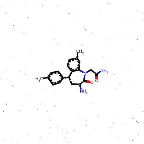 Cc1ccc(C2CC(N)C(=O)N(CC(N)=O)c3cc(C)ccc32)cc1